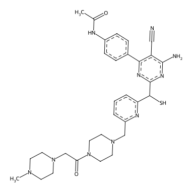 CC(=O)Nc1ccc(-c2nc(C(S)c3cccc(CN4CCN(C(=O)CN5CCN(C)CC5)CC4)n3)nc(N)c2C#N)cc1